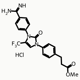 COC(=O)CCc1ccc(-n2cc(C(F)(F)F)n(-c3ccc(C(=N)N)cc3)c2=O)cc1.Cl